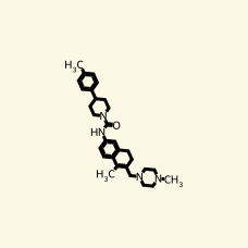 CC1=C(CN2CCN(C)CC2)CCc2cc(NC(=O)N3CCC(c4ccc(C)cc4)CC3)ccc21